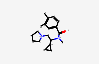 Cc1ccc(C(=O)N(C)C(CN2CCCC2)C2CC2)cc1C